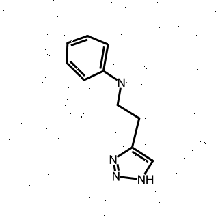 c1ccc([N]CCc2c[nH]nn2)cc1